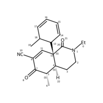 CCN1CC[C@H]2[C@H](C)C(=O)C(C#N)=C[C@]2(C2C=CC=CC2C)C1=O